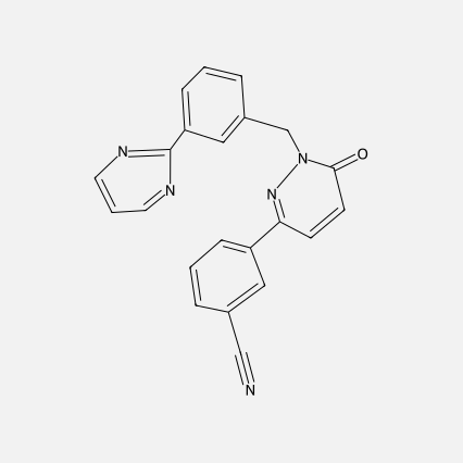 N#Cc1cccc(-c2ccc(=O)n(Cc3cccc(-c4ncccn4)c3)n2)c1